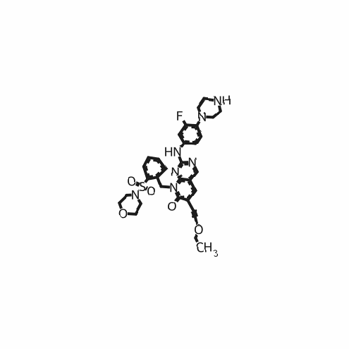 CCOC#Cc1cc2cnc(Nc3ccc(N4CCNCC4)c(F)c3)nc2n(Cc2ccccc2S(=O)(=O)N2CCOCC2)c1=O